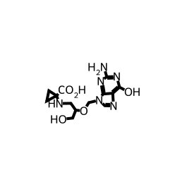 Nc1nc(O)c2ncn(COC(CO)CNC3(C(=O)O)CC3)c2n1